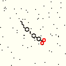 CCCCC[C@H]1CC[C@H](/C=C/[C@H]2CC[C@H](C3CCC(C(=O)OC)CC3)CC2)CC1